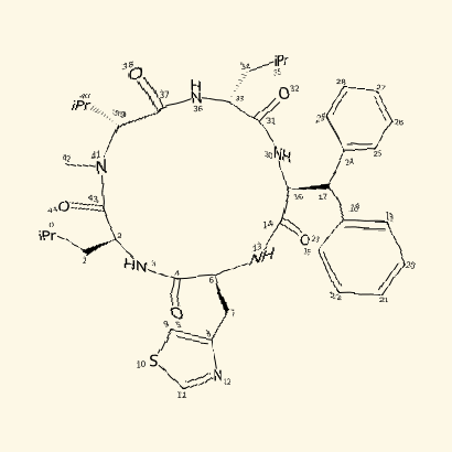 CC(C)C[C@@H]1NC(=O)[C@H](Cc2cscn2)NC(=O)[C@H](C(c2ccccc2)c2ccccc2)NC(=O)[C@@H](CC(C)C)NC(=O)[C@@H](C(C)C)N(C)C1=O